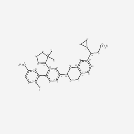 COc1ccc(F)c(-c2ccc(C3CCc4ccc(C(CC(=O)O)C5CC5)cc4O3)cc2C2=CCCC2(C)C)c1